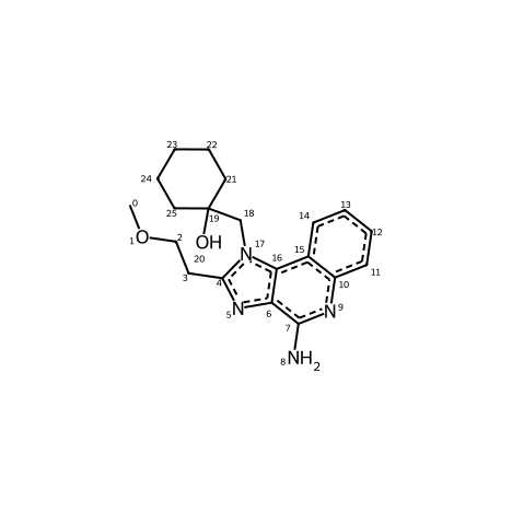 COCCc1nc2c(N)nc3ccccc3c2n1CC1(O)CCCCC1